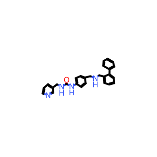 O=C(NCc1cccnc1)Nc1ccc(CNCc2ccccc2-c2ccccc2)cc1